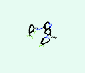 COc1cc2nccc(NCc3cccc(C(F)F)c3F)c2cc1N1CCC(F)(F)CC1